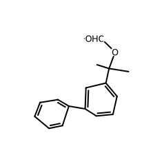 CC(C)(O[C]=O)c1cccc(-c2ccccc2)c1